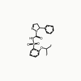 O=C(NS(=O)(=O)c1ccccc1OC(F)F)N1N=CCC1c1ccccc1